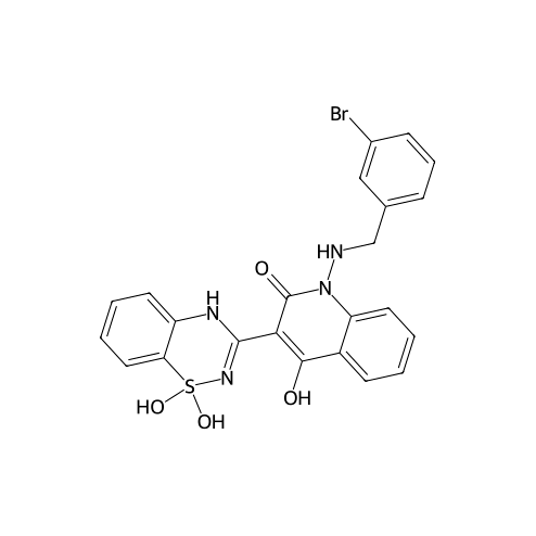 O=c1c(C2=NS(O)(O)c3ccccc3N2)c(O)c2ccccc2n1NCc1cccc(Br)c1